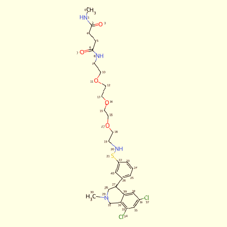 CNC(=O)CCC(=O)NCCOCCOCCOCCNSc1cccc(C2CN(C)Cc3c(Cl)cc(Cl)cc32)c1